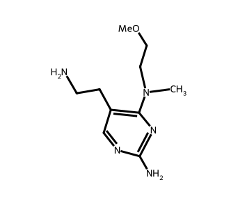 COCCN(C)c1nc(N)ncc1CCN